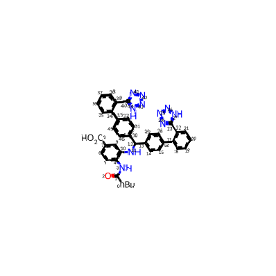 CCCCC(=O)Nc1ccc(C(=O)O)cc1NC(c1ccc(-c2ccccc2-c2nnn[nH]2)cc1)c1ccc(-c2ccccc2-c2nnn[nH]2)cc1